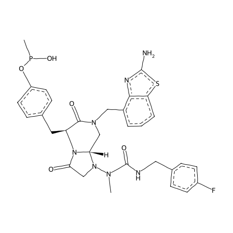 CN(C(=O)NCc1ccc(F)cc1)N1CC(=O)N2[C@@H](Cc3ccc(OP(C)O)cc3)C(=O)N(Cc3cccc4sc(N)nc34)C[C@@H]21